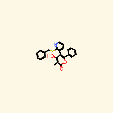 Cc1c(O)c(-c2cccnc2SCc2ccccc2)c(-c2ccccc2)oc1=O